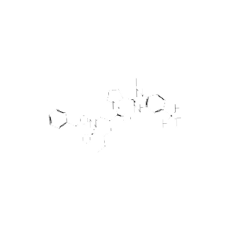 CCCC[C@@H](CN(C=O)OCc1ccccc1)C(=O)N1CCC[C@H]1c1nc2cc(C(F)(F)F)ccc2[nH]1